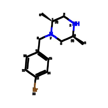 C[C@@H]1CN[C@@H](C)CN1Cc1ccc(Br)cc1